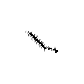 C=C(C)C(=O)OCCNC(=S)C(F)(F)C(F)(F)C(F)(F)C(F)(F)C(F)(F)C(F)(F)C(F)(F)C(F)(F)C(F)(F)C(F)(F)F